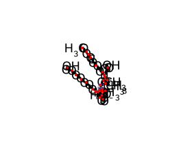 COCCOCCOCCOCCOCCOCCN(CCCS(=O)(=O)O)c1ccc2c(C(C)(C)C)cc(/C=C/C=C3/N(CCOCCOCCOCCOCCOCCOCCC(=O)O)c4ccc(S(=O)(=O)[O-])cc4C3(C)CCCS(=O)(=O)O)[o+]c2c1